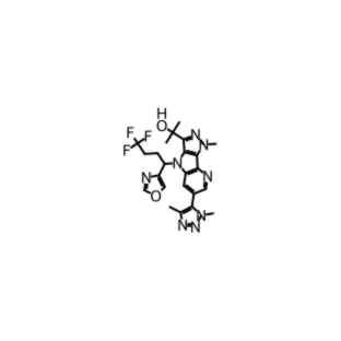 Cc1nnn(C)c1-c1cnc2c3c(c(C(C)(C)O)nn3C)n(C(CCC(F)(F)F)c3cocn3)c2c1